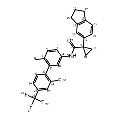 Cc1ccc(NC(=O)C2(c3ccc4c(c3)CCC4)CC2)cc1-c1ccc(C(F)(F)F)cc1F